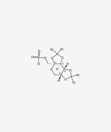 CCC1(CC)O[C@@H]2[C@@H](CO[C@@]3(COS(=O)(=O)Cl)OC(CC)(CC)O[C@@H]23)O1